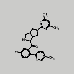 Cc1ccc(-c2ccc(F)cc2C(=O)C2NCC3CN(c4nc(C)cc(C)n4)CC32)nc1